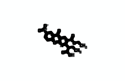 CCOC(=O)c1cc2c(=O)c3cc([N+](=O)[O-])ccc3oc2nc1C(CC)C(=O)O